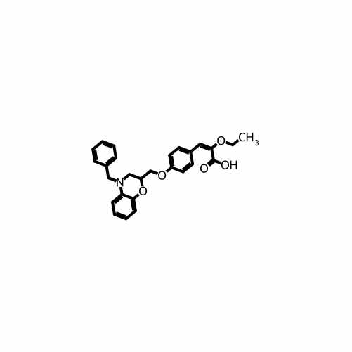 CCO/C(=C/c1ccc(OCC2CN(Cc3ccccc3)c3ccccc3O2)cc1)C(=O)O